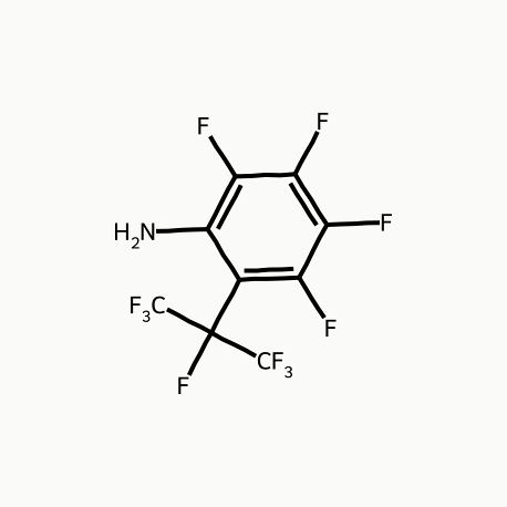 Nc1c(F)c(F)c(F)c(F)c1C(F)(C(F)(F)F)C(F)(F)F